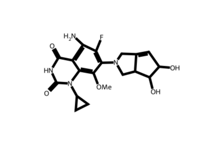 COc1c(N2CC3=CC(O)C(O)C3C2)c(F)c(N)c2c(=O)[nH]c(=O)n(C3CC3)c12